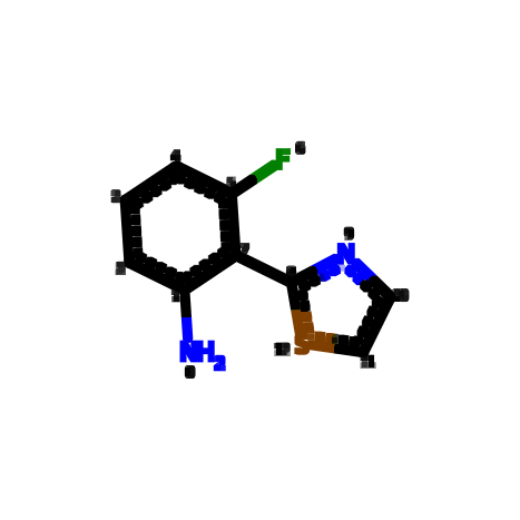 Nc1cccc(F)c1-c1nccs1